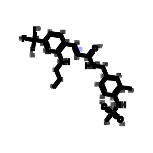 CCCNc1nc(C(F)(F)F)ccc1/C=C/C(=O)NCc1ccc(NS(C)(=O)=O)c(C)c1